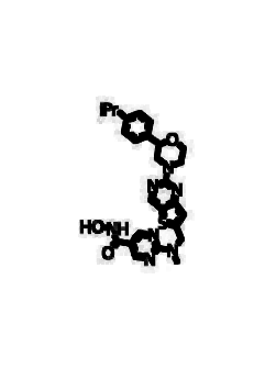 CC(C)c1ccc(C2CN(c3ncc4sc(CN(C)c5ncc(C(=O)NO)cn5)cc4n3)CCO2)cc1